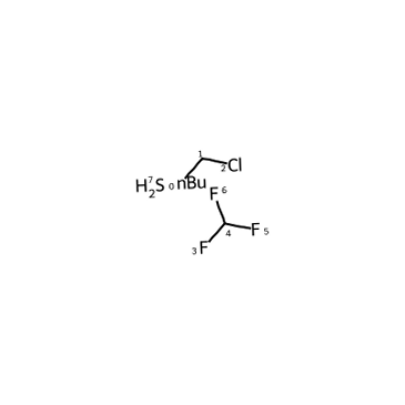 CCCCCCl.FC(F)F.S